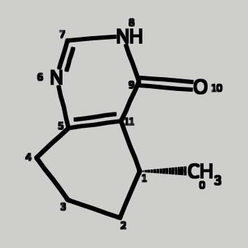 C[C@@H]1CCCc2nc[nH]c(=O)c21